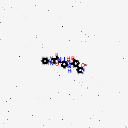 COc1ncccc1-c1ccc(O)c(-c2nc3cc(C(=O)NC(C)c4cnn(-c5ccccc5)c4)ccc3[nH]2)c1